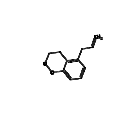 C=CCc1cccc2c1CCOO2